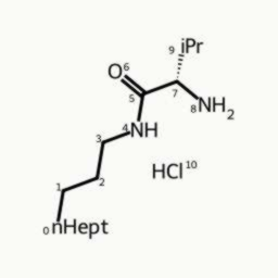 CCCCCCCCCCNC(=O)[C@@H](N)C(C)C.Cl